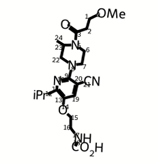 COCCC(=O)N1CCN(c2nc(C(C)C)c(OCCNC(=O)O)cc2C#N)CC1C